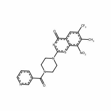 Cc1c(C(F)(F)F)cc2c(=O)nc(N3CCN(C(=O)c4cccnc4)CC3)sc2c1[N+](=O)[O-]